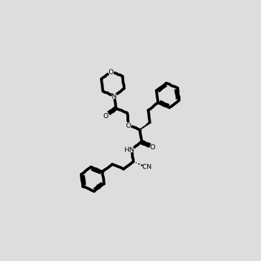 N#C[C@H](CCc1ccccc1)NC(=O)[C@H](CCc1ccccc1)OCC(=O)N1CCOCC1